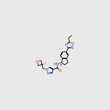 CCc1nc(-c2ccc3c(c2)CC[C@H]3NC(=O)c2cnn(CC3(F)COC3)c2)no1